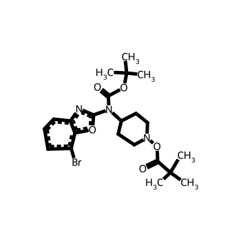 CC(C)(C)OC(=O)N(c1nc2cccc(Br)c2o1)C1CCN(OC(=O)C(C)(C)C)CC1